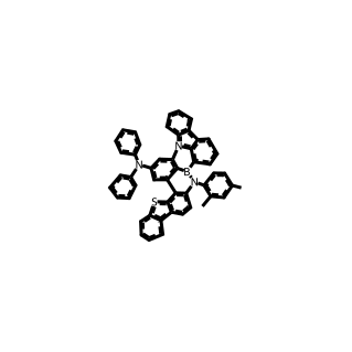 Cc1ccc(N2B3c4c(cc(N(c5ccccc5)c5ccccc5)cc4-n4c5ccccc5c5cccc3c54)-c3c2ccc2c3sc3ccccc32)c(C)c1